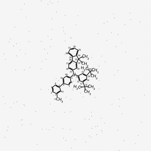 Cc1cccc(-c2ccc(N(c3cc(C(C)(C)C)cc(C(C)(C)C)c3)c3ccc4c(c3)C(C)(C)c3ccccc3-4)cc2)c1